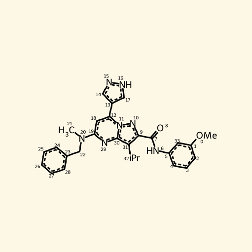 COc1cccc(NC(=O)c2nn3c(-c4cn[nH]c4)cc(N(C)Cc4ccccc4)nc3c2C(C)C)c1